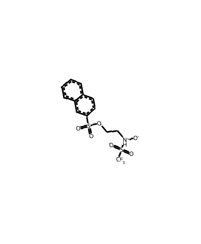 O=S(=O)(OCC[NH+]([O-])S(=O)(=O)C(F)(F)F)c1ccc2ccccc2c1